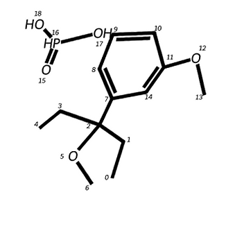 CCC(CC)(OC)c1cccc(OC)c1.O=[PH](O)O